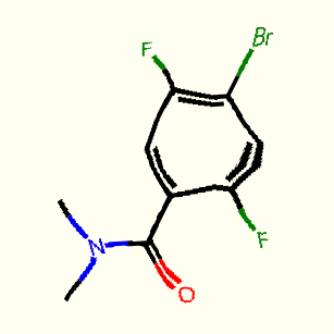 CN(C)C(=O)c1cc(F)c(Br)cc1F